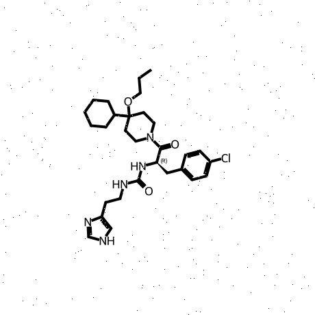 CCCOC1(C2CCCCC2)CCN(C(=O)[C@@H](Cc2ccc(Cl)cc2)NC(=O)NCCc2c[nH]cn2)CC1